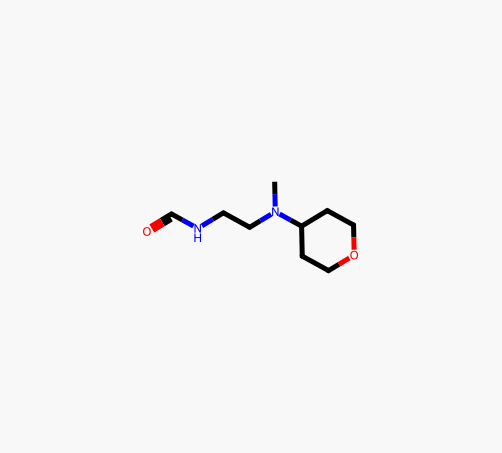 CN(CCNC=O)C1CCOCC1